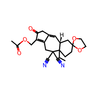 CCC12CCC3(C[C@H]1C=C1CC(=O)C(COC(C)=O)=C1CC2(C#N)C#N)OCCO3